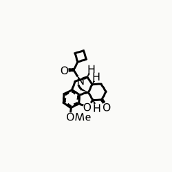 COc1ccc2c3c1O[C@H]1C(=O)CC[C@H]4[C@@H](C2)N(C(=O)C2CCC2)CC[C@]314